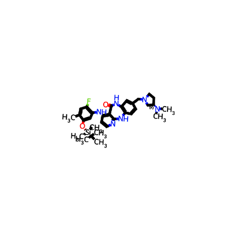 Cc1cc(F)c(Nc2ccnc3c2C(=O)Nc2cc(CN4CC[C@@H](N(C)C)C4)ccc2N3)cc1O[Si](C)(C)C(C)(C)C